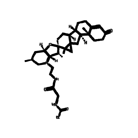 CCC(=O)NCC(=O)NCCN1C[C@@H](C)C[C@H]2O[C@]3(CC[C@H]4[C@@H]5CCC6=CC(=O)CC[C@]6(C)[C@H]5CC45CC53C)[C@H](C)[C@@H]21